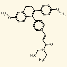 CCN(CC)C(=O)/C=C/c1ccc(C2=C(c3ccc(OC)cc3)CCc3cc(OC)ccc32)cc1